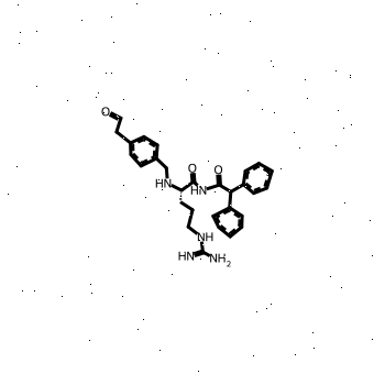 N=C(N)NCCC[C@H](NCc1ccc(CC=O)cc1)C(=O)NC(=O)C(c1ccccc1)c1ccccc1